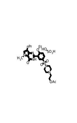 CCCc1cn(C)c2c(=O)[nH]c(-c3cc(S(=O)(=O)N4CCN(CCOC(C)=O)CC4)ccc3OCC)nc12.O=S(=O)(O)O